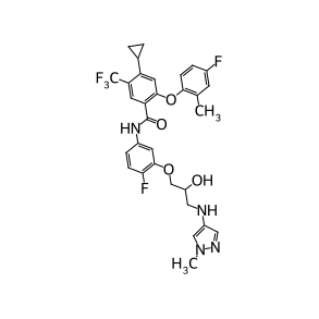 Cc1cc(F)ccc1Oc1cc(C2CC2)c(C(F)(F)F)cc1C(=O)Nc1ccc(F)c(OCC(O)CNc2cnn(C)c2)c1